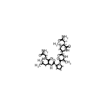 CC(C)CC(NC(=O)[C@@H]1CCCN1C(=O)C(C)NC(=O)[C@H]1CN(C)[C@@H](CC(N)=O)C(=O)N1)C(=O)NCC(N)=O